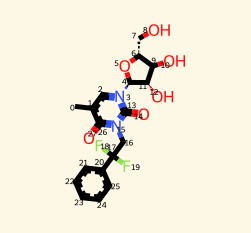 Cc1cn([C@@H]2O[C@H](CO)C(O)[C@@H]2O)c(=O)n(CC(F)(F)c2ccccc2)c1=O